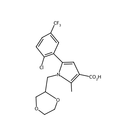 Cc1c(C(=O)O)cc(-c2cc(C(F)(F)F)ccc2Cl)n1CC1COCCO1